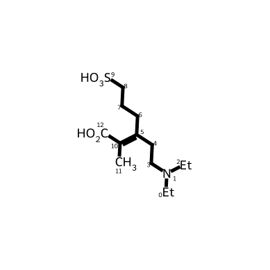 CCN(CC)CCC(CCCS(=O)(=O)O)=C(C)C(=O)O